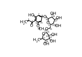 C=CC(=O)c1c(O)cc(O[C@@H]2O[C@H](CO[C@H]3O[C@H](C)[C@@H](O)[C@H](O)[C@@H]3O)[C@@H](O)[C@H](O)[C@H]2O)cc1OC